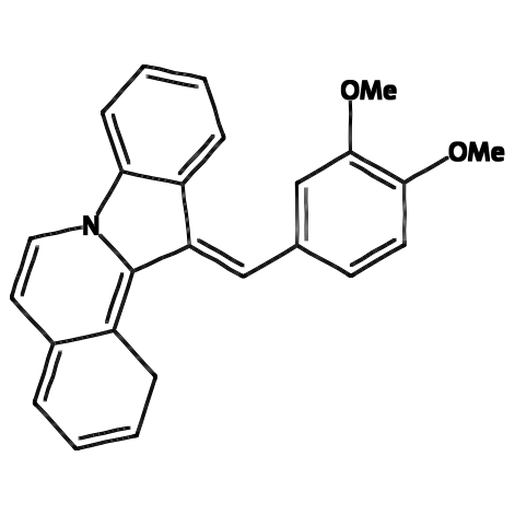 COc1ccc(C=c2c3ccccc3n3ccc4c(c23)CC=CC=4)cc1OC